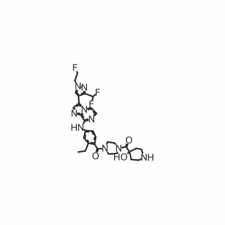 CCc1cc(Nc2nccn3c(-c4cn(CCF)nc4C(F)F)cnc23)ccc1C(=O)N1CCN(C(=O)C2(O)CCNCC2)CC1